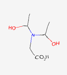 CC(O)N(CC(=O)O)C(C)O